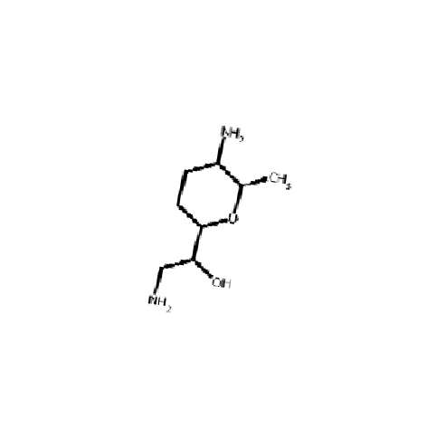 C[C@H]1OC(C(O)CN)CCC1N